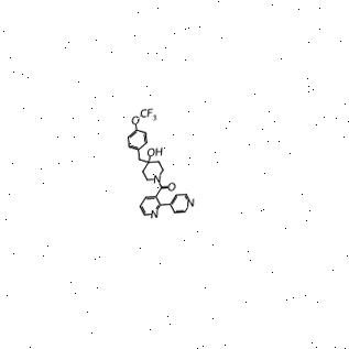 O=C(c1cccnc1-c1ccncc1)N1CCC(O)(Cc2ccc(OC(F)(F)F)cc2)CC1